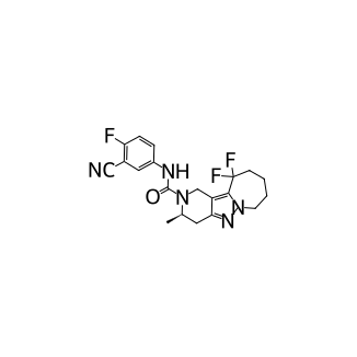 C[C@@H]1Cc2nn3c(c2CN1C(=O)Nc1ccc(F)c(C#N)c1)C(F)(F)CCCC3